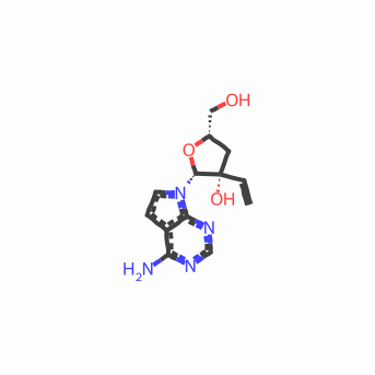 C=C[C@]1(O)C[C@@H](CO)O[C@H]1n1ccc2c(N)ncnc21